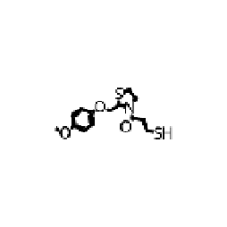 COc1ccc(OCC2SCCN2C(=O)CCS)cc1